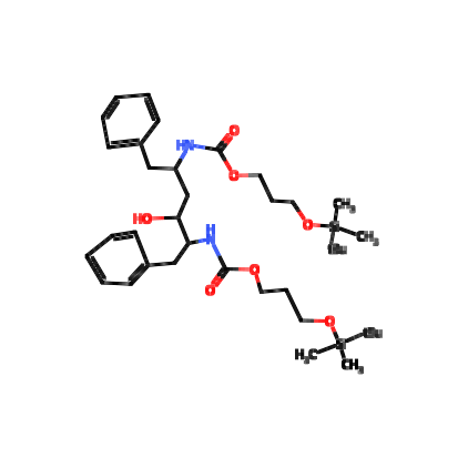 CC(C)(C)[Si](C)(C)OCCCOC(=O)NC(Cc1ccccc1)CC(O)C(Cc1ccccc1)NC(=O)OCCCO[Si](C)(C)C(C)(C)C